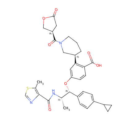 Cc1scnc1C(=O)N[C@@H](C)[C@H](Oc1ccc(C(=O)O)c([C@@H]2CCCN(C(=O)[C@H]3COC(=O)C3)C2)c1)c1ccc(C2CC2)cc1